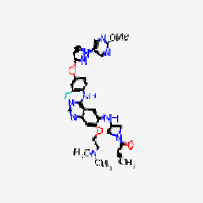 C=CC(=O)N1CC(Nc2cc3c(Nc4ccc(Oc5ccn(-c6cnc(OC)nc6)n5)cc4F)ncnc3cc2OCCN(C)C)C1